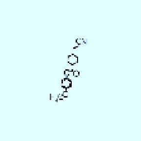 N#CC=C[C@H]1CC[C@H](C(=O)Oc2ccc(OC(F)(F)F)cc2)CC1